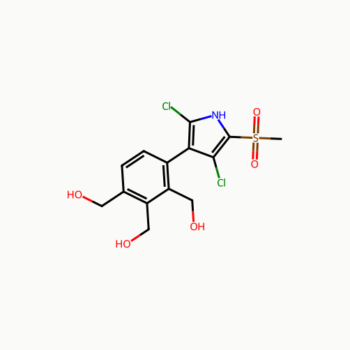 CS(=O)(=O)c1[nH]c(Cl)c(-c2ccc(CO)c(CO)c2CO)c1Cl